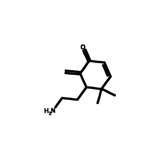 C=C1C(=O)C=CC(C)(C)C1CCN